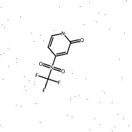 O=C1C=C(S(=O)(=O)C(F)(F)F)C=C[N]1